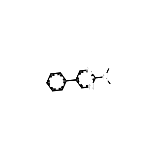 CN(C)c1ncc(-c2[c]cccc2)cn1